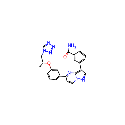 C[C@@H](Cn1cnnn1)Oc1cccc(-c2ccn3ncc(-c4cccc(C(N)=O)c4)c3n2)c1